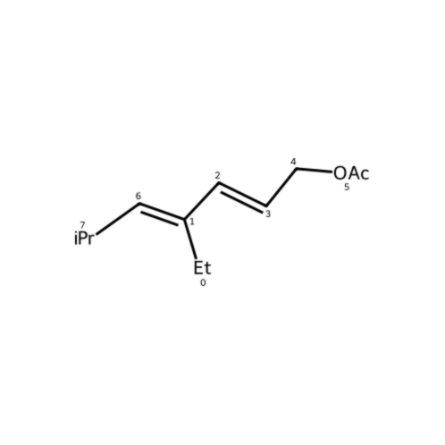 CCC(/C=C/COC(C)=O)=C\C(C)C